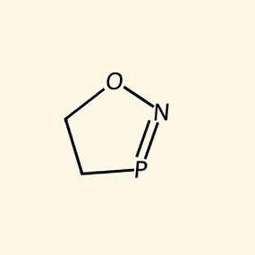 C1CP=NO1